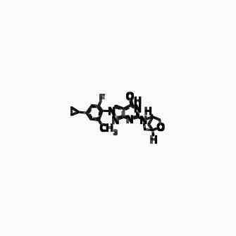 Cc1cc(C2CC2)cc(F)c1-n1cc2c(=O)[nH]c(N3C[C@@H]4C[C@H]3CO4)nc2n1